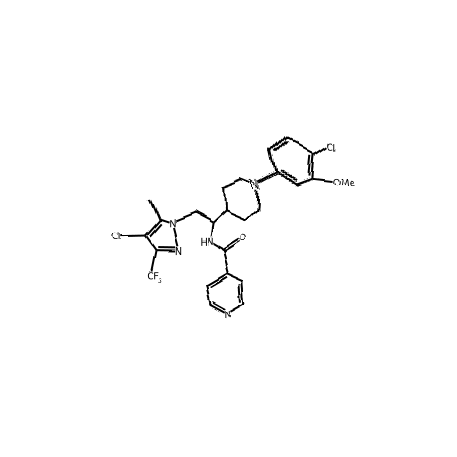 COc1cc(N2CCC(C(Cn3nc(C(F)(F)F)c(Cl)c3C)NC(=O)c3ccncc3)CC2)ccc1Cl